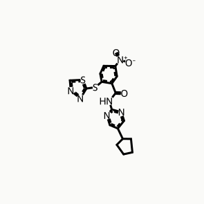 O=C(Nc1ncc(C2CCCC2)cn1)c1cc([N+](=O)[O-])ccc1Sc1nncs1